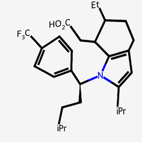 CCC1CCc2cc(C(C)C)n([C@@H](CCC(C)C)c3ccc(C(F)(F)F)cc3)c2C1CC(=O)O